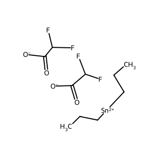 CC[CH2][Sn+2][CH2]CC.O=C([O-])C(F)F.O=C([O-])C(F)F